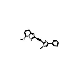 COc1cccc2nc(C#Cc3nc(-c4ccccc4)cn3C)nn12